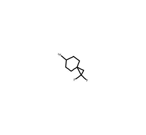 [2H]C1CCC2(CC1)CC2(F)F